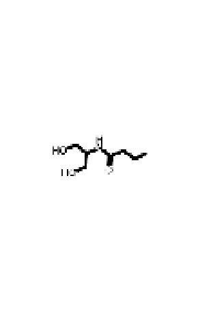 CCCC(=O)NC(CO)CO